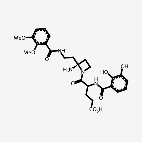 COc1cccc(C(=O)NCC[C@]2(N)CCN2C(=O)C(CCC(=O)O)NC(=O)c2cccc(O)c2O)c1OC